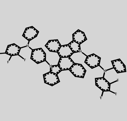 Fc1ccc(N(c2ccccc2)c2ccc(-n3c4ccccc4c4c5ccccc5c5c(c6ccccc6c6c7ccccc7n(-c7ccc(N(c8ccccc8)c8ccc(F)c(F)c8F)cc7)c65)c43)cc2)c(F)c1F